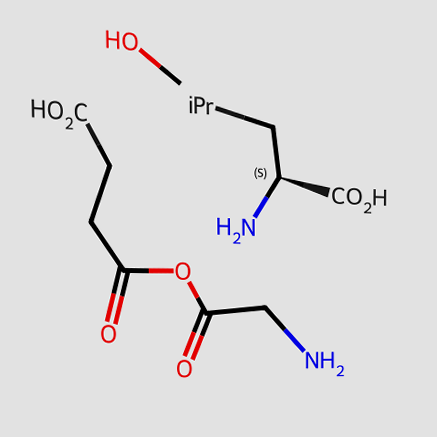 CC(C)C[C@H](N)C(=O)O.CO.NCC(=O)OC(=O)CCC(=O)O